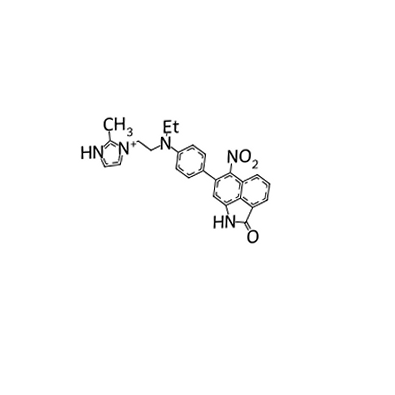 CCN(CC[n+]1cc[nH]c1C)c1ccc(-c2cc3c4c(cccc4c2[N+](=O)[O-])C(=O)N3)cc1